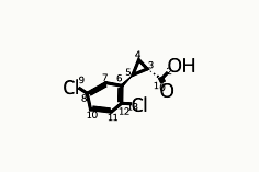 O=C(O)[C@H]1C[C@@H]1c1cc(Cl)ccc1Cl